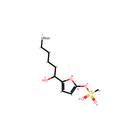 CCCCCCCCCCCCCC(O)c1ccc(OS(C)(=O)=O)o1